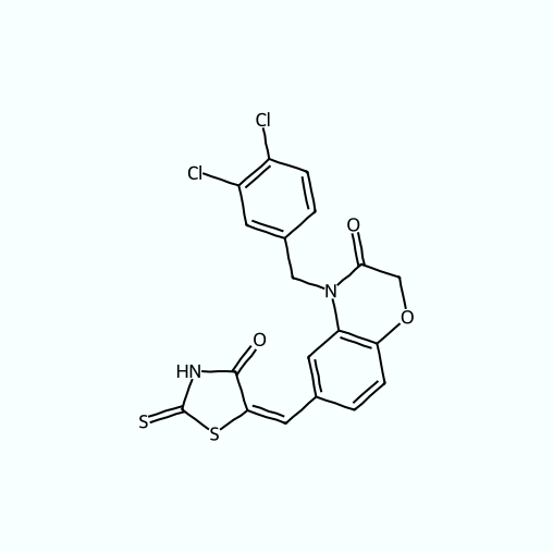 O=C1NC(=S)SC1=Cc1ccc2c(c1)N(Cc1ccc(Cl)c(Cl)c1)C(=O)CO2